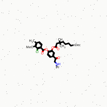 CCCCCCCCCCCCCCC(C)(C)CC(=O)Oc1cc(C(=O)CNC(C)C)ccc1OC(=O)c1ccc(C)c(OC)c1Cl